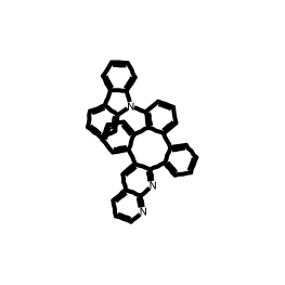 c1ccc2c(c1)-c1cccc(-n3c4ccccc4c4ccccc43)c1-c1ccccc1-c1cc3cccnc3nc1-2